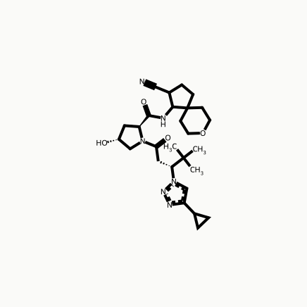 CC(C)(C)[C@@H](CC(=O)N1C[C@H](O)C[C@H]1C(=O)NC1C(C#N)CCC12CCOCC2)n1cc(C2CC2)nn1